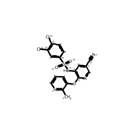 Cc1ncccc1Oc1ncc(C#N)cc1NS(=O)(=O)c1ccc(Cl)c(Cl)c1